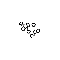 c1ccc(-c2cccc(N(c3ccc(-c4cccc5oc6c7ccccc7ccc6c45)cc3)c3cccc4c3oc3ccccc34)c2)cc1